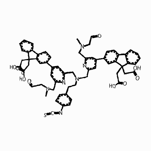 CN(CC=O)Cc1cc(-c2ccc3c(c2)C(CC(=O)O)(CC(=O)O)c2ccccc2-3)cc(CN(CCc2ccc(N=C=S)cc2)Cc2cc(-c3ccc4c(c3)C(CC(=O)O)(CC(=O)O)c3ccccc3-4)cc(CN(C)CC=O)n2)n1